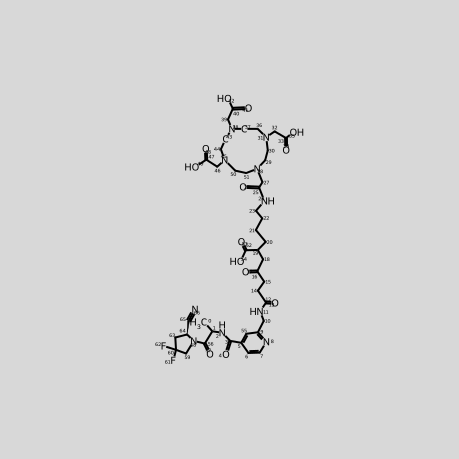 CC(NC(=O)c1ccnc(CNC(=O)CCC(=O)CC(CCCCNC(=O)CN2CCN(CC(=O)O)CCN(CC(=O)O)CCN(CC(=O)O)CC2)C(=O)O)c1)C(=O)N1CC(F)(F)C[C@H]1C#N